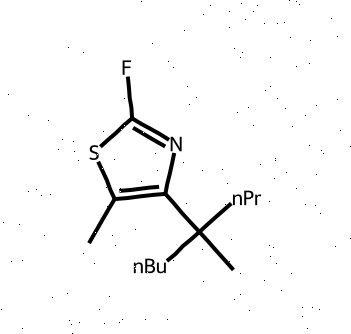 CCCCC(C)(CCC)c1nc(F)sc1C